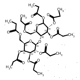 CCC(=O)OC[C@H]1O[C@@H](O[C@H]2[C@H](OC(=O)CC)[C@@H](OC(=O)CC)C(OC(=O)CC)O[C@@H]2COC(=O)CC)[C@H](OC(=O)CC)[C@@H](OC(=O)CC)[C@H]1OC(=O)CC